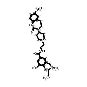 Bc1cc(C(=O)NCCN2CCC(N3CCc4cc(OC)ccc4NC3=O)CC2)cc(CN(C)CCC)c1N